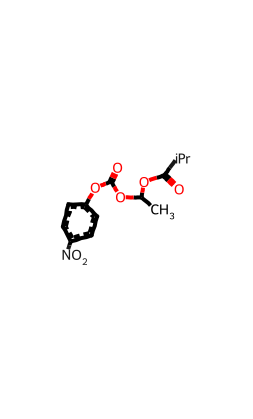 CC(OC(=O)Oc1ccc([N+](=O)[O-])cc1)OC(=O)C(C)C